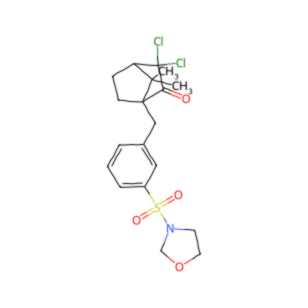 CC1(C)C2CCC1(Cc1cccc(S(=O)(=O)N3CCOC3)c1)C(=O)C2(Cl)Cl